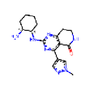 Cn1cc(-c2nc(N[C@@H]3CCCC[C@@H]3N)nc3c2C(=O)NCC3)cn1